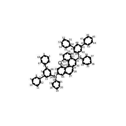 c1ccc(-c2cc(-c3ccccc3)cc(N(c3ccccc3)c3cc4c5c(ccc6cc(N(c7ccccc7)c7cc(-c8ccccc8)cc(-c8ccccc8)c7)c7cccc(c7c65)O4)c3)c2)cc1